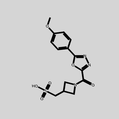 COc1ccc(-c2nnc(C(=O)N3CC(CS(=O)(=O)O)C3)o2)cc1